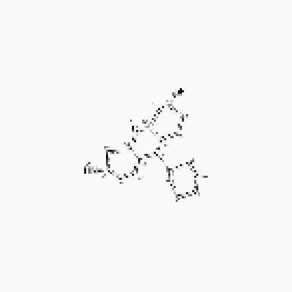 CC(C)c1ccc2c(-c3ccccc3)c3ccc(=N)cc-3oc2c1